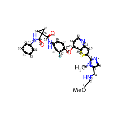 COCCNCc1cnc(-c2cc3nccc(Oc4ccc(NC(=O)C5(C(=O)Nc6ccccc6)CC5)cc4F)c3s2)n1C